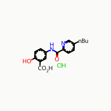 CCCCc1ccc(C(=O)Nc2ccc(O)c(C(=O)O)c2)nc1.Cl